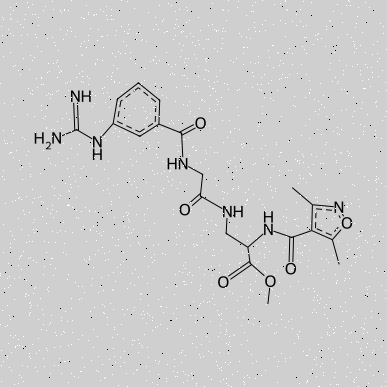 COC(=O)C(CNC(=O)CNC(=O)c1cccc(NC(=N)N)c1)NC(=O)c1c(C)noc1C